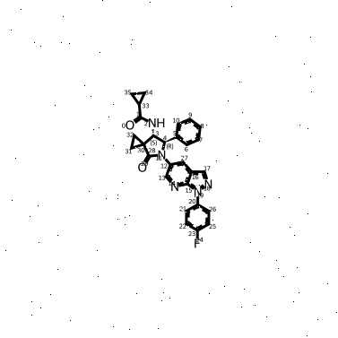 O=C(N[C@@H]1[C@@H](c2ccccc2)N(c2cnc3c(cnn3-c3ccc(F)cc3)c2)C(=O)C12CC2)C1CC1